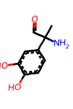 CC(N)(C=O)c1ccc(O)c(O)c1